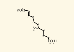 CCCCCCCCC=CCCCCCCCC(=O)O.[Sb]